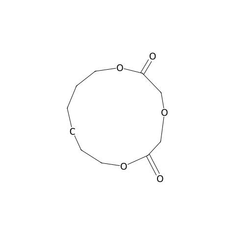 O=C1COCC(=O)OCCCCCCO1